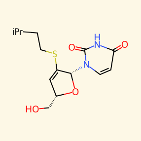 CC(C)CCSC1=C[C@@H](CO)O[C@H]1n1ccc(=O)[nH]c1=O